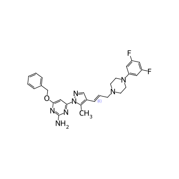 Cc1c(/C=C/CN2CCN(c3cc(F)cc(F)c3)CC2)cnn1-c1cc(OCc2ccccc2)nc(N)n1